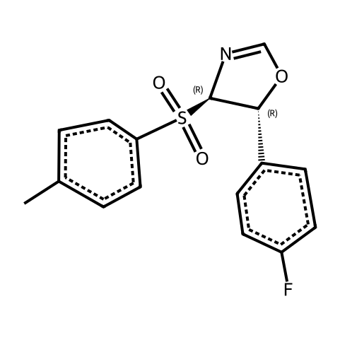 Cc1ccc(S(=O)(=O)[C@H]2N=CO[C@@H]2c2ccc(F)cc2)cc1